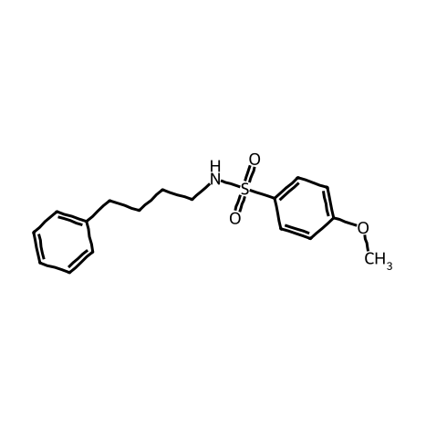 COc1ccc(S(=O)(=O)NCCCCc2ccccc2)cc1